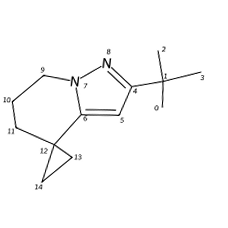 CC(C)(C)c1cc2n(n1)CCCC21CC1